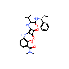 CC[C@@H](NC(=O)C(Nc1c(Nc2cccc(C(=O)N(C)C)c2O)c(=O)c1=O)C(C)C)c1ccccc1